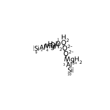 O.O.[Al+3].[Al+3].[MgH2].[MgH2].[O-2].[O-2].[O-2].[Si].[Si]